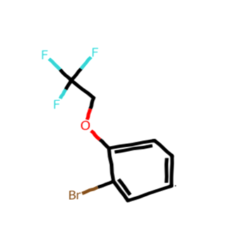 FC(F)(F)COc1cc[c]cc1Br